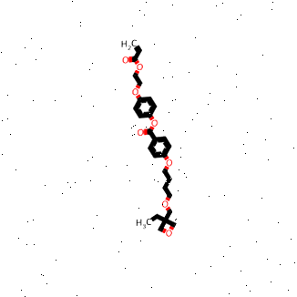 C=CC(=O)OCCOc1ccc(OC(=O)c2ccc(OCCCCOCC3(CC)COC3)cc2)cc1